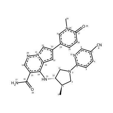 C[C@@H]1CN(c2ccc(C#N)cn2)C[C@H]1Nc1c(C(N)=O)cnn2cc(-c3ccc(=O)n(C)c3)cc12